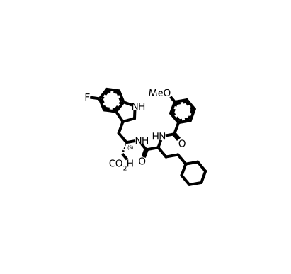 COc1cccc(C(=O)NC(CCC2CCCCC2)C(=O)N[C@H](CC(=O)O)CC2CNc3ccc(F)cc32)c1